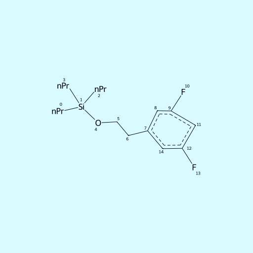 CCC[Si](CCC)(CCC)OCCc1cc(F)cc(F)c1